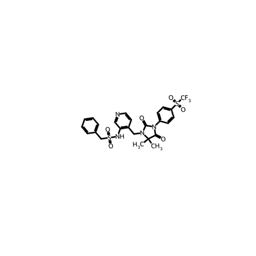 CC1(C)C(=O)N(c2ccc(S(=O)(=O)C(F)(F)F)cc2)C(=O)N1Cc1ccncc1NS(=O)(=O)Cc1ccccc1